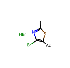 Br.CC(=O)c1sc(C)nc1Br